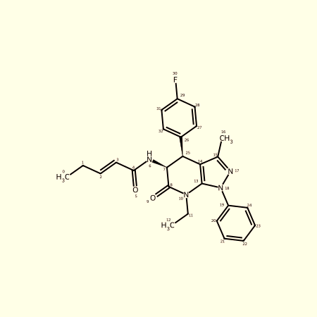 CC/C=C/C(=O)N[C@@H]1C(=O)N(CC)c2c(c(C)nn2-c2ccccc2)[C@@H]1c1ccc(F)cc1